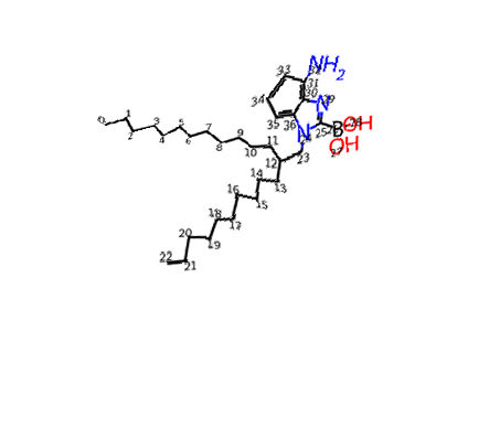 CCCCCCCCCCCCC(CCCCCCCCCC)Cn1c(B(O)O)nc2c(N)cccc21